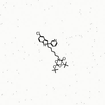 CC(C)(C)OC(=O)ON(CCCCCCC1(c2cccnc2)C=c2cc(Cl)ccc2=N1)C(=O)OC(C)(C)C